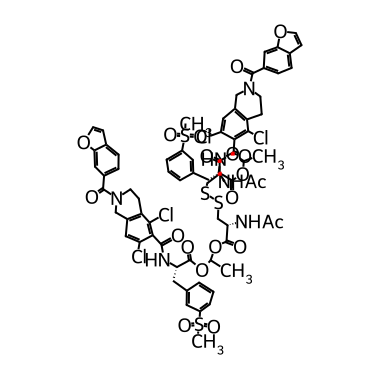 CC(=O)N[C@@H](CSSC[C@H](NC(C)=O)C(=O)OC(C)OC(=O)[C@H](Cc1cccc(S(C)(=O)=O)c1)NC(=O)c1c(Cl)cc2c(c1Cl)CCN(C(=O)c1ccc3ccoc3c1)C2)C(=O)OC(C)OC(=O)[C@H](Cc1cccc(S(C)(=O)=O)c1)NC(=O)c1c(Cl)cc2c(c1Cl)CCN(C(=O)c1ccc3ccoc3c1)C2